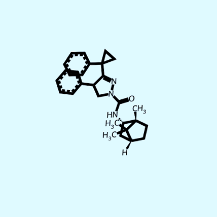 CC1(C)[C@@H]2CC[C@@]1(C)[C@@H](NC(=O)N1CC(c3ccccc3)C(C3(c4ccccc4)CC3)=N1)C2